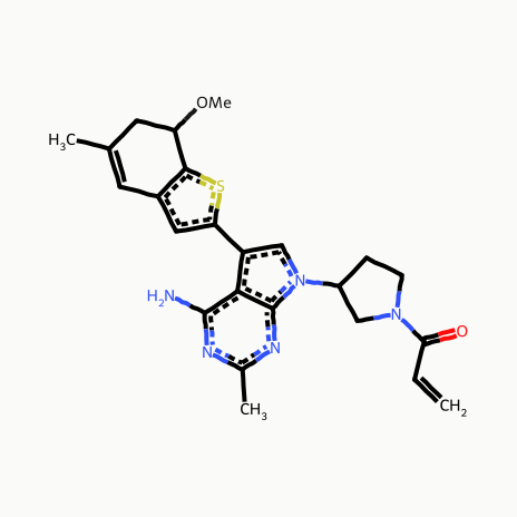 C=CC(=O)N1CCC(n2cc(-c3cc4c(s3)C(OC)CC(C)=C4)c3c(N)nc(C)nc32)C1